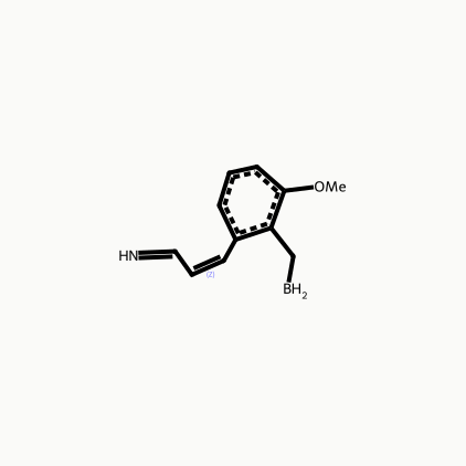 BCc1c(/C=C\C=N)cccc1OC